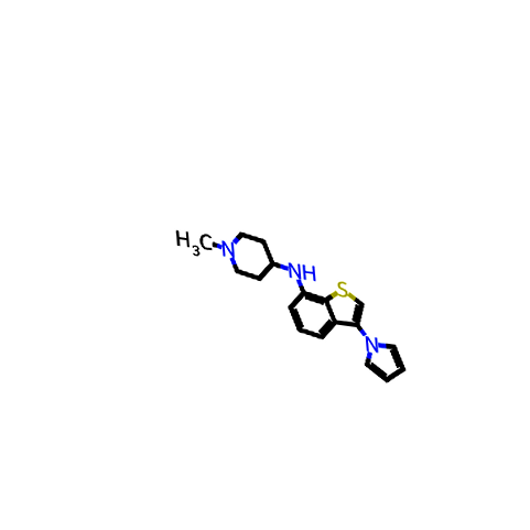 CN1CCC(Nc2cccc3c(-n4cccc4)csc23)CC1